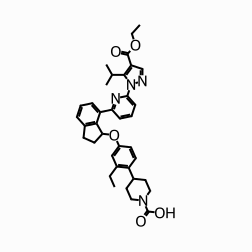 CCOC(=O)c1cnn(-c2cccc(-c3cccc4c3C(Oc3ccc(C5CCN(C(=O)O)CC5)c(CC)c3)CC4)n2)c1C(C)C